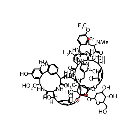 CN[C@H](CC(C)C)C(=O)N[C@H]1C(=O)NC(CC(N)=O)C(=O)NC2C(=O)N[C@H]3C(=O)N[C@H](C(=O)N[C@@H](C(=O)O)c4cc(O)cc(O)c4-c4cc3ccc4O)[C@H](O)c3ccc(c(Cl)c3)Oc3cc2cc(c3O[C@@H]2O[C@H](CO)[C@@H](O)[C@H](O)[C@H]2O[C@H]2C[C@](C)(NCc3cc(NC(=O)Nc4ccc(OC(F)(F)F)cc4)nn3C)[C@H](O)[C@H](C)O2)Oc2ccc(cc2Cl)[C@H]1O